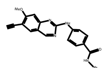 C#Cc1cc2cnc(Nc3ccc(C(=O)NC(C)C)cc3)nc2cc1OC